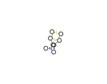 c1ccc(-c2cccc3c2Sc2c(-c4ccc5c(c4)c4ccccc4n5-c4ccccc4)cccc2-c2ccccc2Sc2ccccc2-3)cc1